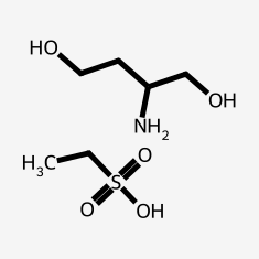 CCS(=O)(=O)O.NC(CO)CCO